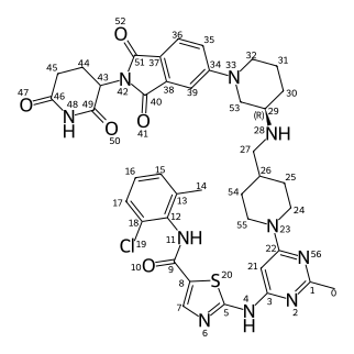 Cc1nc(Nc2ncc(C(=O)Nc3c(C)cccc3Cl)s2)cc(N2CCC(CN[C@@H]3CCCN(c4ccc5c(c4)C(=O)N(C4CCC(=O)NC4=O)C5=O)C3)CC2)n1